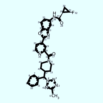 Cc1nnn(C(c2ccccc2)C2CCN(C(=O)c3cc(-c4nc5cc(NC(=O)[C@H]6C[C@@H]6F)ccc5o4)ccn3)CC2)n1